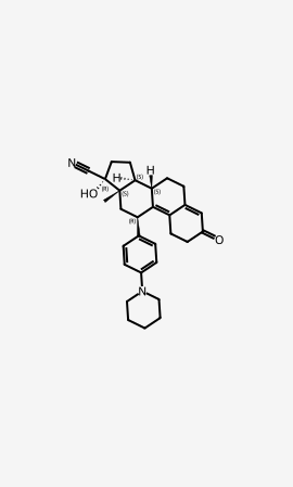 C[C@]12C[C@H](c3ccc(N4CCCCC4)cc3)C3=C4CCC(=O)C=C4CC[C@H]3[C@@H]1CC[C@]2(O)C#N